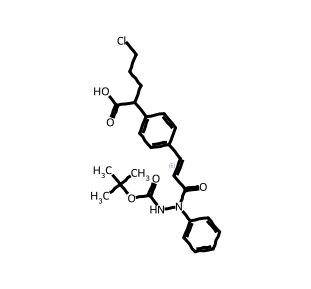 CC(C)(C)OC(=O)NN(C(=O)/C=C/c1ccc(C(CCCCl)C(=O)O)cc1)c1ccccc1